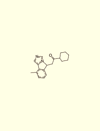 Cc1cccc2c1-c1cncn1C2CC(=O)C1CCCCC1